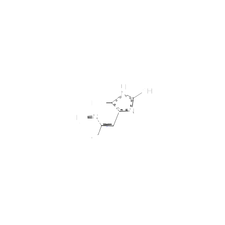 C=N/C(Cl)=C\c1nc(S)[nH]c1C